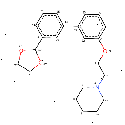 c1cc(OCCN2CCCCC2)cc(-c2cccc(C3OCCO3)c2)c1